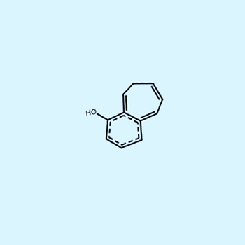 Oc1cccc2c1=CCC=CC=2